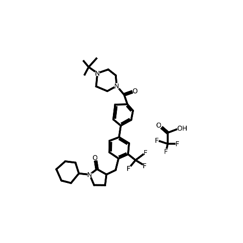 CC(C)(C)N1CCN(C(=O)c2ccc(-c3ccc(CC4CCN(C5CCCCC5)C4=O)c(C(F)(F)F)c3)cc2)CC1.O=C(O)C(F)(F)F